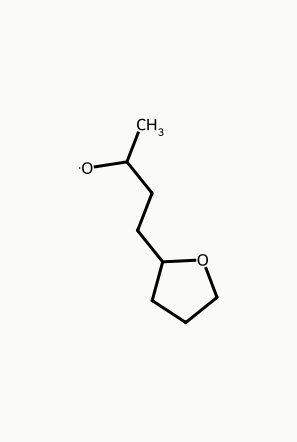 CC([O])CCC1CCCO1